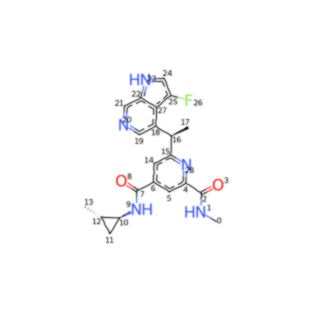 CNC(=O)c1cc(C(=O)N[C@H]2C[C@@H]2C)cc([C@H](C)c2cncc3[nH]cc(F)c23)n1